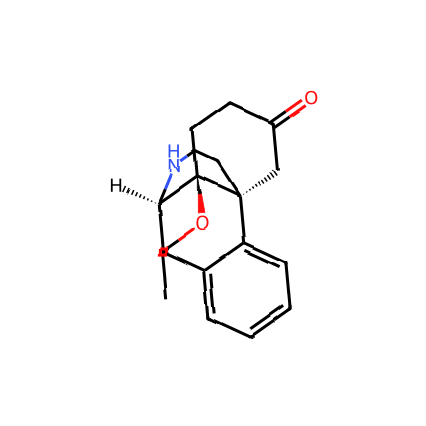 CCO[C@@]12CCC(=O)C[C@@]13CCN[C@@H]2Cc1ccccc13